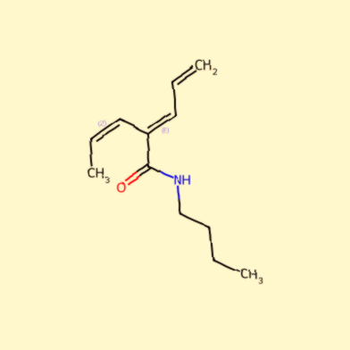 C=C/C=C(\C=C/C)C(=O)NCCCC